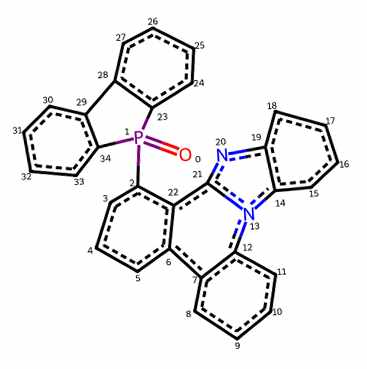 O=P1(c2cccc3c4ccccc4n4c5ccccc5nc4c23)c2ccccc2-c2ccccc21